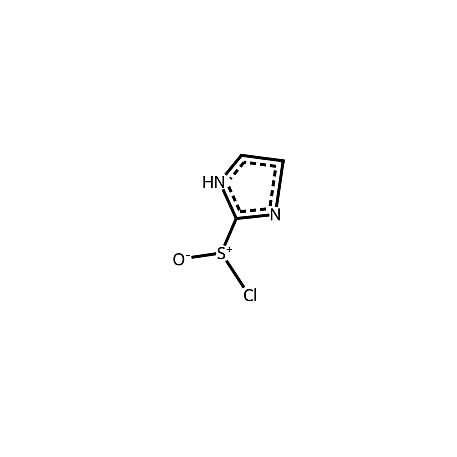 [O-][S+](Cl)c1ncc[nH]1